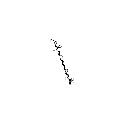 CC(C)OCC(=O)NCCOCCCCCOCCNC(=O)C(C)C